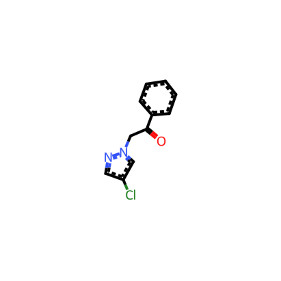 O=C(Cn1cc(Cl)cn1)c1ccccc1